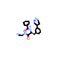 N#CCNC(=O)[C@H](Cc1cccc(-c2ccnnc2)c1)NC(=O)c1ccccc1